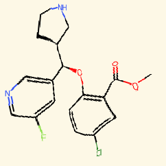 COC(=O)c1cc(Cl)ccc1O[C@@H](c1cncc(F)c1)[C@H]1CCNC1